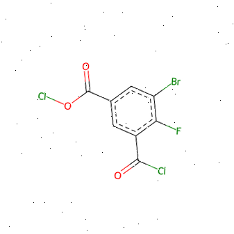 O=C(OCl)c1cc(Br)c(F)c(C(=O)Cl)c1